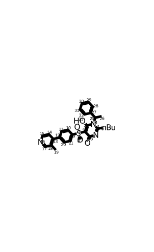 CCCCc1nc(=O)c(S(=O)(=O)c2ccc(-c3ccncc3C)cc2)c(O)n1C(C)c1ccccc1